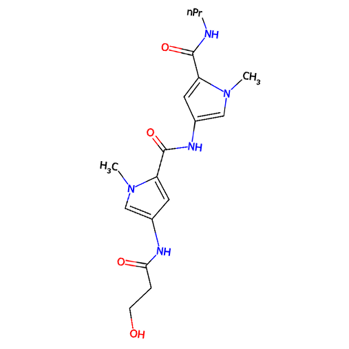 [CH2]CCNC(=O)c1cc(NC(=O)c2cc(NC(=O)CCO)cn2C)cn1C